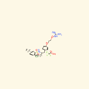 N=C(N)NOCCCOc1ccc(C[C@H](NS(=O)(=O)c2cc(C(F)(F)F)ccc2Cl)C(=O)O)cc1.O=C(O)C(F)(F)F